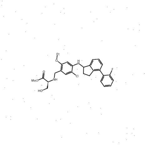 CCOc1cc(NC2CCc3c(-c4ccccc4F)cccc32)c(Cl)cc1CN[C@@H](CO)C(=O)OC